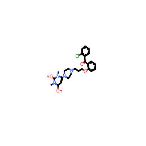 CN1C(N2CCN(CCCOc3ccccc3C(=O)c3ccccc3Cl)CC2)=CC(O)N(C)C1O